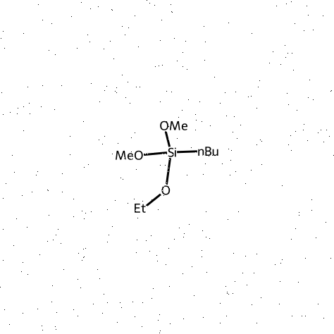 CCCC[Si](OC)(OC)OCC